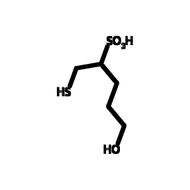 O=S(=O)(O)C(CS)CCCO